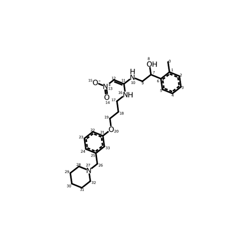 Cc1ccccc1C(O)CNC(=C[N+](=O)[O-])NCCCOc1cccc(CN2CCCCC2)c1